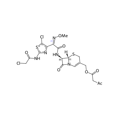 CO/N=C(\C(=O)N[C@@H]1C(=O)N2C=C(COC(=O)CC(C)=O)CS[C@@H]12)c1nc(NC(=O)CCl)sc1Cl